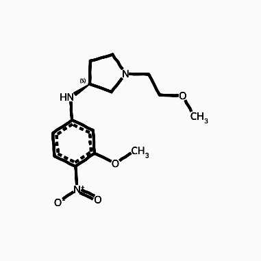 COCCN1CC[C@H](Nc2ccc([N+](=O)[O-])c(OC)c2)C1